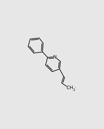 [CH2]/C=C/c1ccc(-c2ccccc2)nc1